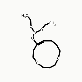 CCOB(OCC)OC1=CCCCCCCCCCC1